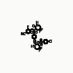 N#Cc1ccc(CN(C2CC(F)(F)CCNC2=O)S(=O)(=O)c2ccc(Cl)cc2)c(F)c1.O=C1NCCC(F)(F)CC1NS(=O)(=O)c1ccc(Cl)cc1